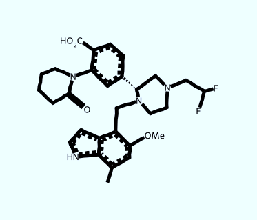 COc1cc(C)c2[nH]ccc2c1CN1CCN(CC(F)F)C[C@H]1c1ccc(C(=O)O)c(N2CCCCC2=O)c1